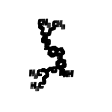 CCCCC(CC)COc1cc(N2CCc3cc(SOON(CCCC)CCCC)ccc32)ccc1N=N